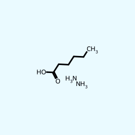 CCCCCC(=O)O.N.N